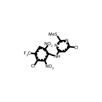 CSc1nc(Cl)cc(Nc2c([N+](=O)[O-])cc(C(F)(F)F)c(Cl)c2[N+](=O)[O-])n1